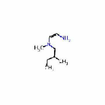 CCC(C)CN(C)/C=C\N